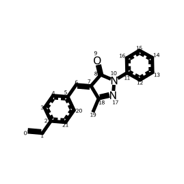 C=Cc1ccc(C=C2C(=O)N(c3ccccc3)N=C2C)cc1